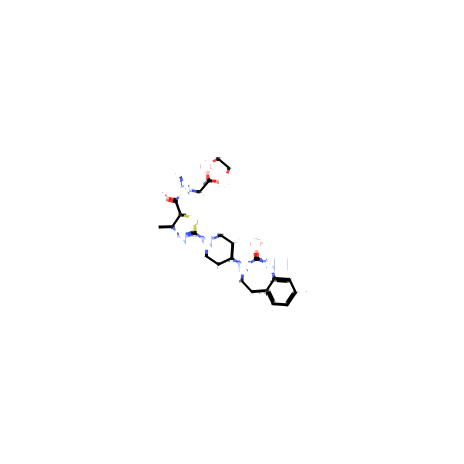 CC1N=C(N2CCC(N3CCc4ccccc4NC3=O)CC2)SC1C(=O)N(C)CC1OCCO1